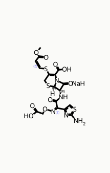 COC(=O)/C=C\SC1=C(C(=O)O)N2C(=O)[C@@H](NC(=O)/C(=N\OCC(=O)O)c3csc(N)n3)[C@H]2SC1.[NaH]